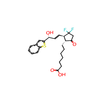 O=C(O)CCCCCC[C@H]1C(=O)CC(F)(F)[C@@H]1/C=C/[C@@H](O)c1cc2ccccc2s1